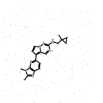 Cc1nc2ccc(-c3ccn4nc(NCC5(C)CC5)ncc34)nc2n1C